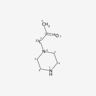 CC(=[18O])[13CH2]N1CCNCC1